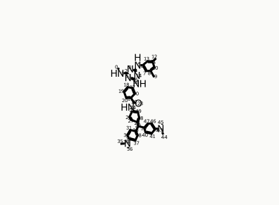 CNc1nc(Nc2cc(C)cc(C)c2)nc(Nc2cccc(C(=O)Nc3ccc(C(c4ccc(N(C)C)cc4)c4ccc(N(C)C)cc4)cc3)c2)n1